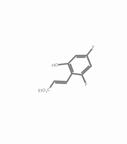 CCOC(=O)/C=C/c1c(O)cc(F)cc1F